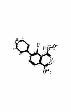 NC(=O)c1ccc(C2CCOCC2)c(F)c1C(=O)NO